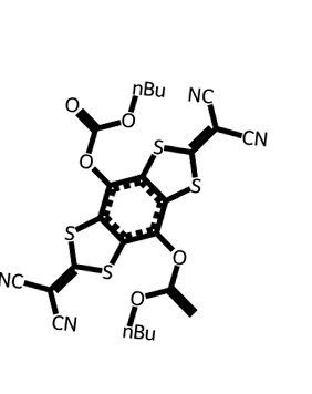 C=C(OCCCC)Oc1c2c(c(OC(=O)OCCCC)c3c1SC(=C(C#N)C#N)S3)SC(=C(C#N)C#N)S2